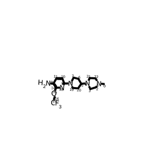 CN1CCN(C2CCN(c3ccc(N)c(OCC(F)(F)F)n3)CC2)CC1